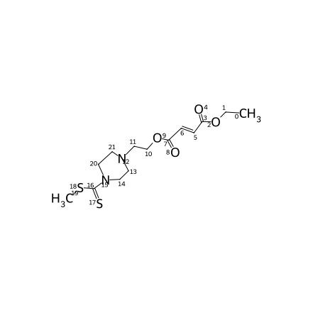 CCOC(=O)/C=C/C(=O)OCCN1CCN(C(=S)SC)CC1